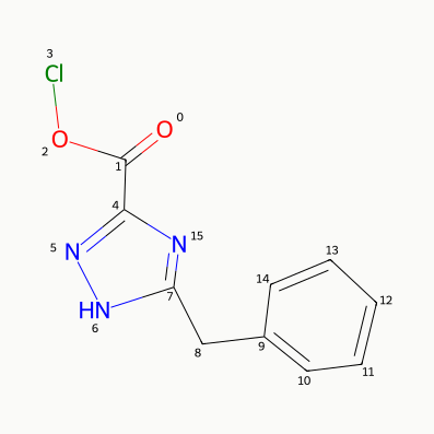 O=C(OCl)c1n[nH]c(Cc2ccccc2)n1